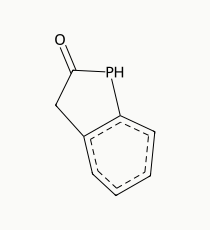 O=C1Cc2ccccc2P1